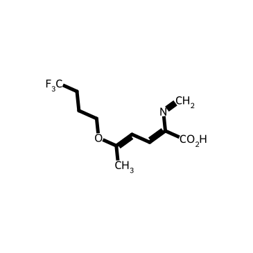 C=N/C(=C\C=C(/C)OCCCC(F)(F)F)C(=O)O